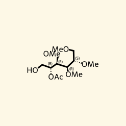 COC[C@H](OC)[C@@H](OC)[C@H](OC)[C@@H](CO)OC(C)=O